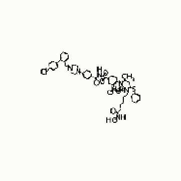 CC(CC(Sc1ccccc1)N(C)CCCCCC(=O)NO)Nc1ccc(S(=O)(=O)NC(=O)c2ccc(N3CCN(Cc4ccccc4-c4ccc(Cl)cc4)CC3)cc2)cc1[N+](=O)[O-]